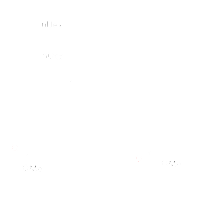 CCCCCCCCc1c(CCCCCC)ccc(CCCCCCCC(=O)OC)c1CCCCCCCC(=O)OC